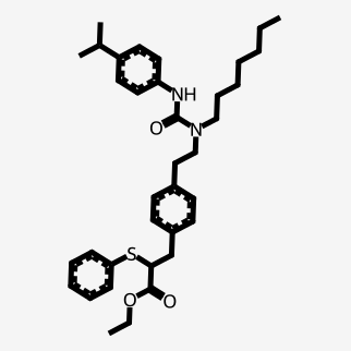 CCCCCCCN(CCc1ccc(CC(Sc2ccccc2)C(=O)OCC)cc1)C(=O)Nc1ccc(C(C)C)cc1